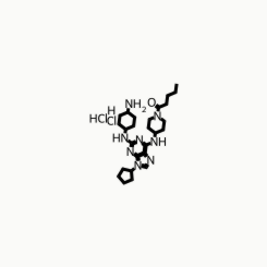 CCCCC(=O)N1CCC(Nc2nc(NC3CCC(N)CC3)nc3c2ncn3C2CCCC2)CC1.Cl.Cl